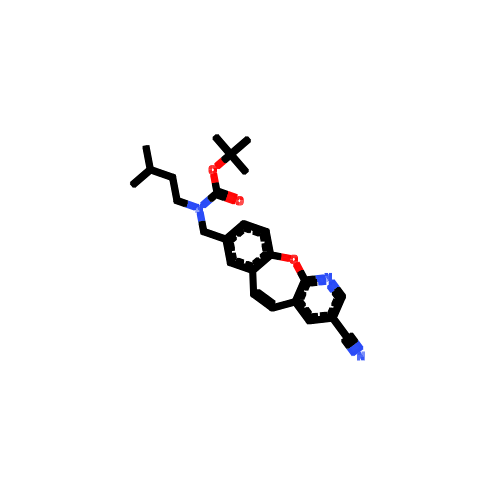 CC(C)CCN(Cc1ccc2c(c1)C=Cc1cc(C#N)cnc1O2)C(=O)OC(C)(C)C